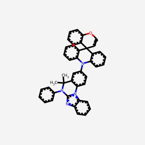 CC1(C)c2cc(N3c4ccccc4C4(c5ccccc5Oc5ccccc54)c4ccccc43)ccc2-n2c(nc3ccccc32)N1c1ccccc1